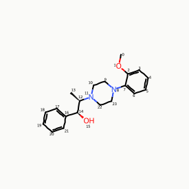 COc1ccccc1N1CCN([C@H](C)[C@@H](O)c2ccccc2)CC1